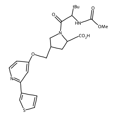 COC(=O)NC(C(=O)N1CC(COc2ccnc(-c3ccsc3)c2)CC1C(=O)O)C(C)(C)C